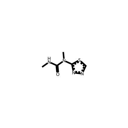 CNC(=O)N(C)c1nncs1